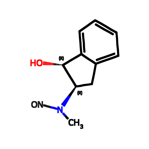 CN(N=O)[C@@H]1Cc2ccccc2[C@H]1O